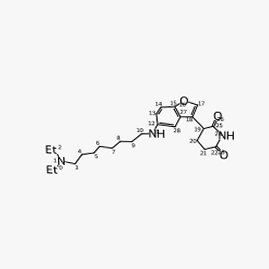 CCN(CC)CCCCCCCCNc1ccc2occ(C3CCC(=O)NC3=O)c2c1